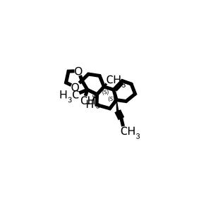 CC#C[C@]12CCCC=C1[C@@]1(C)CCC3(OCCO3)C(C)(C)[C@@H]1CC2